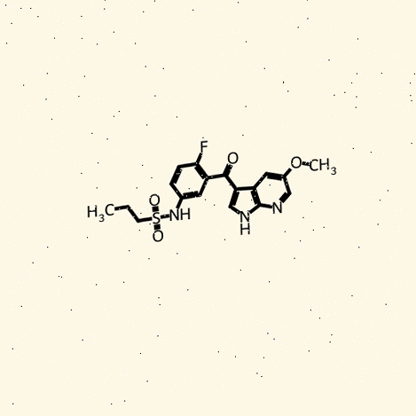 CCCS(=O)(=O)Nc1ccc(F)c(C(=O)c2c[nH]c3ncc(OC)cc23)c1